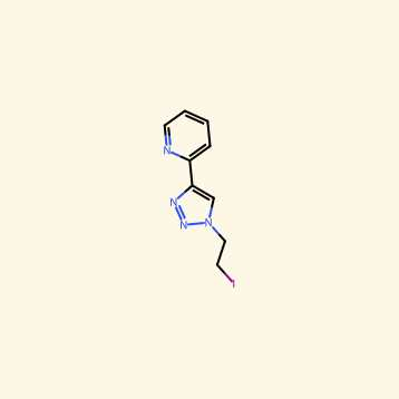 ICCn1cc(-c2ccccn2)nn1